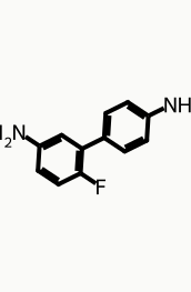 Nc1ccc(-c2cc(N)ccc2F)cc1